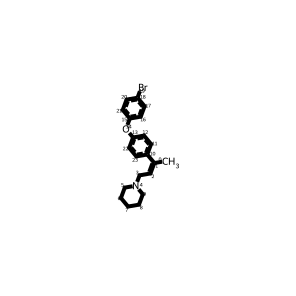 CC(=CCN1CCCCC1)c1ccc(Oc2ccc(Br)cc2)cc1